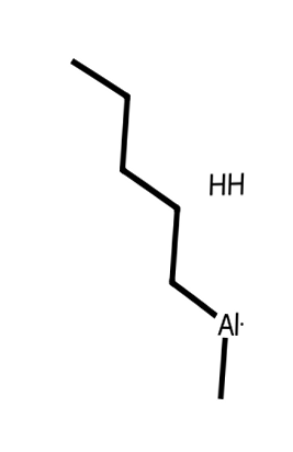 CCCC[CH2][Al][CH3].[HH]